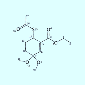 CCOC(=O)C1=CC(OC)(OC)CCC1SC(C)=O